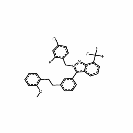 COc1ccccc1CCc1cccc(-c2c3cccc(C(F)(F)F)c3nn2Cc2ccc(Cl)cc2F)c1